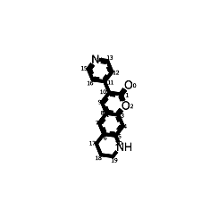 O=c1oc2cc3c(cc2cc1-c1ccncc1)CCCN3